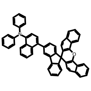 c1ccc(N(c2ccccc2)c2ccc(-c3ccc4c(c3)-c3ccccc3C43c4ccc5ccccc5c4Oc4c3ccc3ccccc43)c3ccccc23)cc1